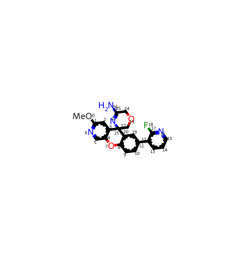 COc1cc2c(cn1)Oc1ccc(-c3cccnc3F)cc1C21COCC(N)=N1